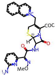 CON=C(C(=O)NC1C(=O)N2C(C(=O)[O-])=C(C[n+]3ccc4ccccc4c3)CS[C@@H]12)c1cccc(N)n1